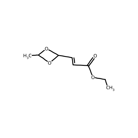 CCOC(=O)/C=C/C1OC(C)O1